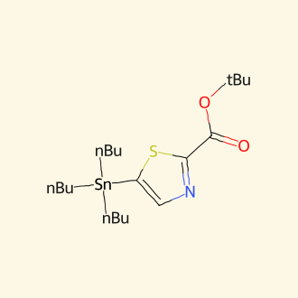 CCC[CH2][Sn]([CH2]CCC)([CH2]CCC)[c]1cnc(C(=O)OC(C)(C)C)s1